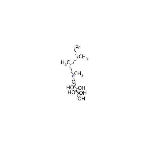 C/C(=C\COC[C@@H](O)C(O)[C@@H](O)[C@@H](O)CO)CCCC(C)CCCC(C)CCCC(C)C